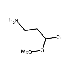 CCC(CCN)OOC